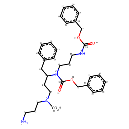 NCCCN(CCC(Cc1ccccc1)N(CCCNC(=O)OCc1ccccc1)C(=O)OCc1ccccc1)C(=O)O